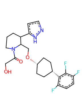 O=C(CO)N1CCCC(c2ccn[nH]2)C1CO[C@H]1CC[C@@H](c2c(F)ccc(F)c2F)CC1